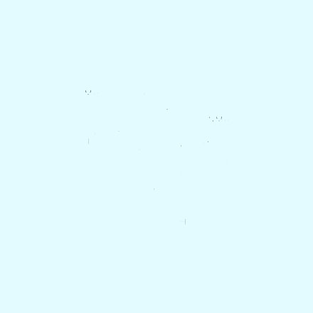 C=CC1OC(NC)=C(c2ccc(OC)c(C)c2)C1=O